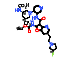 CC(C)(C)OC(=O)Nc1oc2cc(CCN3CC[C@@H](F)C3)cnc2c1C(=O)Nc1cnccc1N1C[C@@H](NC(=O)O)C[C@@H](C(F)(F)F)C1